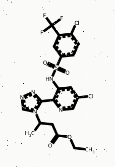 CCOC(=O)CC(C)n1cnnc1-c1ncc(Cl)cc1NS(=O)(=O)c1ccc(Cl)c(C(F)(F)F)c1